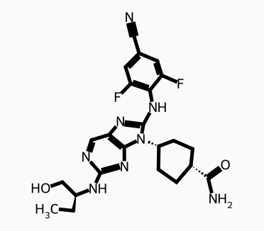 CC[C@@H](CO)Nc1ncc2nc(Nc3c(F)cc(C#N)cc3F)n([C@H]3CC[C@@H](C(N)=O)CC3)c2n1